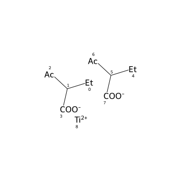 CCC(C(C)=O)C(=O)[O-].CCC(C(C)=O)C(=O)[O-].[Ti+2]